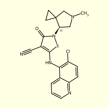 CN1C[C@@H](n2sc(Nc3c(Cl)ccc4ncccc34)c(C#N)c2=O)C2(CC2)C1